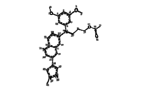 COc1cc(OC)cc(N(CCCOS(C)=O)c2ccc3ncc(-c4cnn(C)c4)cc3c2)c1